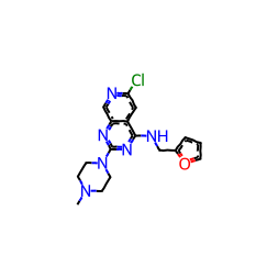 CN1CCN(c2nc(NCc3ccco3)c3cc(Cl)ncc3n2)CC1